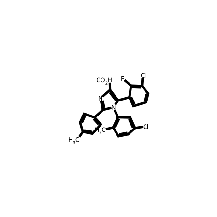 Cc1ccc(-c2nc(C(=O)O)c(-c3cccc(Cl)c3F)n2-c2cc(Cl)ccc2C)cc1